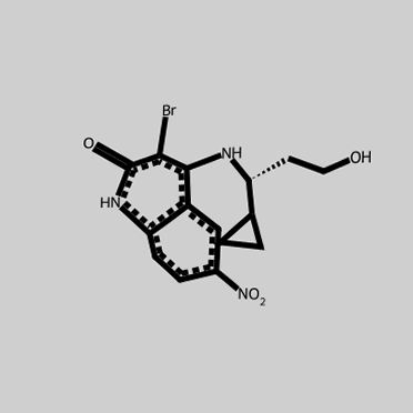 O=c1[nH]c2ccc([N+](=O)[O-])cc2c(N[C@H](CCO)C2CC2)c1Br